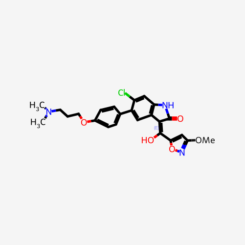 COc1cc(/C(O)=C2\C(=O)Nc3cc(Cl)c(-c4ccc(OCCCN(C)C)cc4)cc32)on1